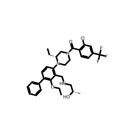 CCOc1c(-c2ccccc2)ccc(N2CCN(C(=O)c3ccc(C(F)(F)F)cc3Cl)C[C@H]2CC)c1CNC[C@H](C)O